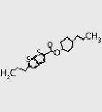 CCCc1cc2cc(C(=O)O[C@H]3CC[C@H](CCC)CC3)sc2s1